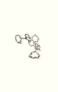 O=C(c1ccccc1)N1CCC(Nc2ccccc2)C2(O)CCCC[C@H]12